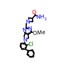 COc1nc(CN2CC(C(N)=O)C2)nc2c1CN(c1cccc(-c3ccccc3)c1Cl)C2